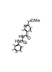 COCc1ccc(C(=O)NC(=O)Nc2ccccc2)cn1